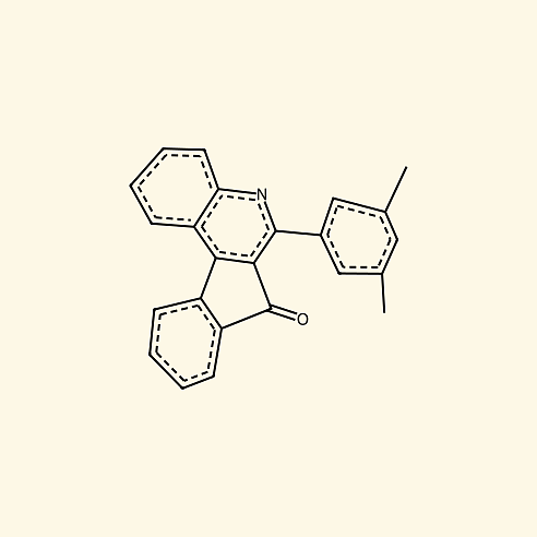 Cc1cc(C)cc(-c2nc3ccccc3c3c2C(=O)c2ccccc2-3)c1